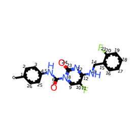 Cc1ccc(NC(=O)n2cc(F)c(NCc3ccccc3F)nc2=O)cc1